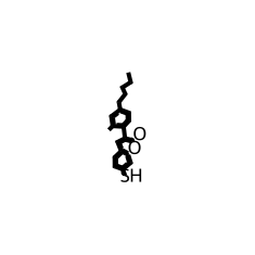 CCCCCc1ccc(-c2cc3ccc(S)cc3oc2=O)c(C)c1